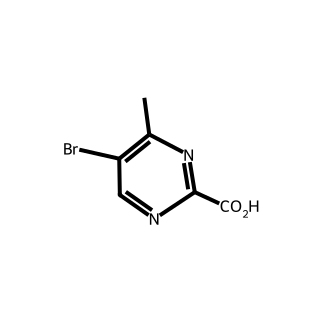 Cc1nc(C(=O)O)ncc1Br